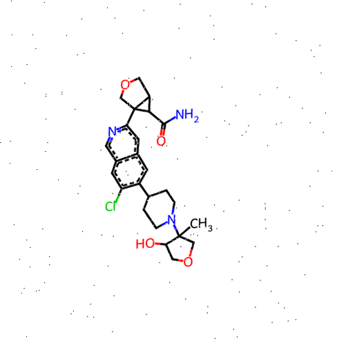 CC1(N2CCC(c3cc4cc(C56COCC5C6C(N)=O)ncc4cc3Cl)CC2)COCC1O